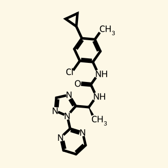 Cc1cc(NC(=O)N[C@@H](C)c2ncnn2-c2ncccn2)c(Cl)cc1C1CC1